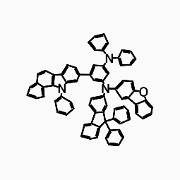 c1ccc(N(c2ccccc2)c2cc(-c3ccc4c5ccc6ccccc6c5n(-c5ccccc5)c4c3)cc(N(c3ccc4c(c3)C(c3ccccc3)(c3ccccc3)c3ccccc3-4)c3ccc4oc5ccccc5c4c3)c2)cc1